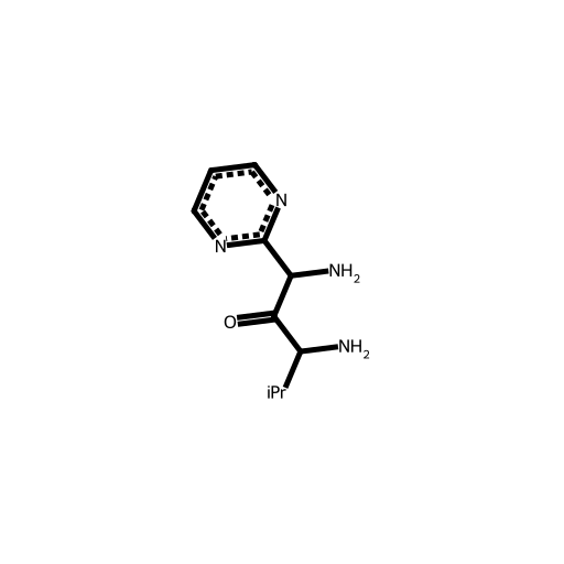 CC(C)C(N)C(=O)C(N)c1ncccn1